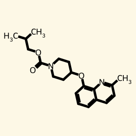 Cc1ccc2cccc(OC3CCN(C(=O)OCC(C)C)CC3)c2n1